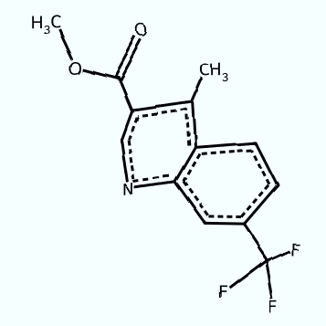 COC(=O)c1cnc2cc(C(F)(F)F)ccc2c1C